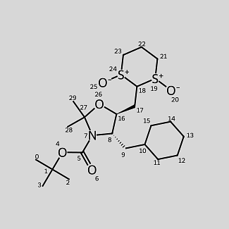 CC(C)(C)OC(=O)N1[C@@H](CC2CCCCC2)[C@H](CC2[S+]([O-])CCC[S+]2[O-])OC1(C)C